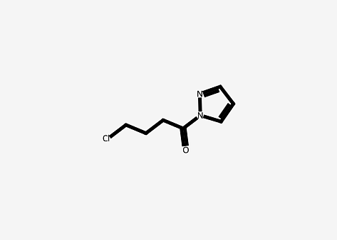 O=C(CCCCl)n1cccn1